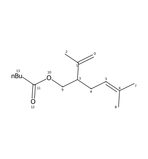 C=C(C)C(CC=C(C)C)COC(=O)CCCC